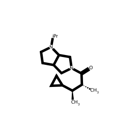 CC(C)N1CCC2CN(C(=O)[C@H](C)[C@@H](C)C3CC3)CC21